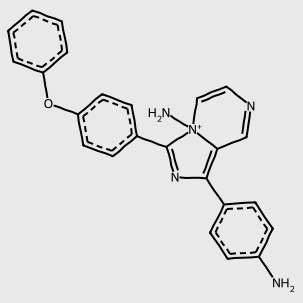 Nc1ccc(C2=C3C=NC=C[N+]3(N)C(c3ccc(Oc4ccccc4)cc3)=N2)cc1